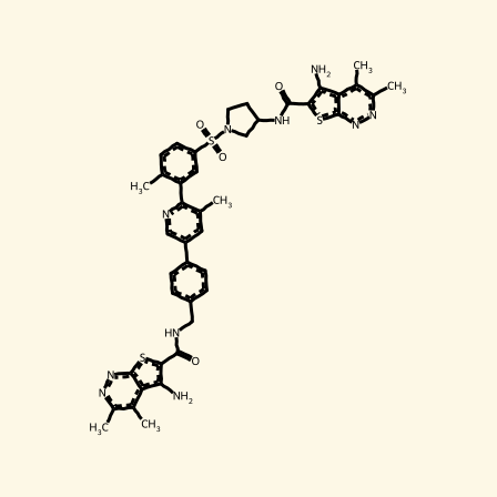 Cc1ccc(S(=O)(=O)N2CCC(NC(=O)c3sc4nnc(C)c(C)c4c3N)C2)cc1-c1ncc(-c2ccc(CNC(=O)c3sc4nnc(C)c(C)c4c3N)cc2)cc1C